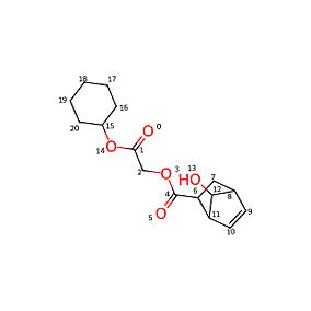 O=C(COC(=O)C1CC2C=CC1C2O)OC1CCCCC1